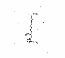 CCCCCCCCCCCCCCCCCCC(O)CN1CCN=C1C